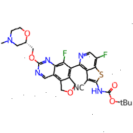 CN1CCO[C@H](COc2ncc3c4c(c(-c5ncc(F)c6sc(NC(=O)OC(C)(C)C)c(C#N)c56)c(F)c3n2)COC4)C1